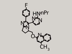 CCCNc1nccc(-c2c(-c3ccc(F)cc3)nc3n2C(COc2cc(C)c4ccccc4n2)CC3)n1